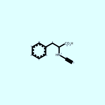 C#CNC(Cc1ccccc1)C(=O)O